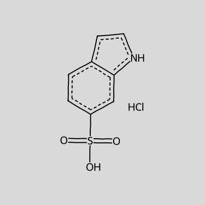 Cl.O=S(=O)(O)c1ccc2cc[nH]c2c1